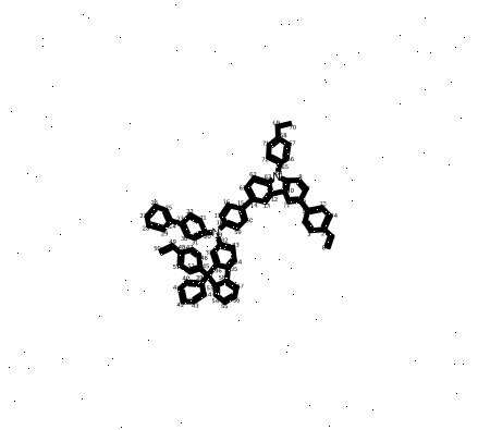 C=Cc1ccc(-c2ccc3c(c2)c2cc(-c4ccc(N(c5ccc(-c6ccccc6)cc5)c5ccc6c(c5)C(c5ccccc5)(c5ccc(C=C)cc5)c5ccccc5-6)cc4)ccc2n3-c2ccc(CC)cc2)cc1